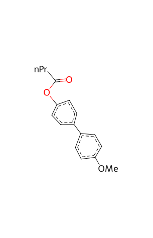 CCCC(=O)Oc1ccc(-c2ccc(OC)cc2)cc1